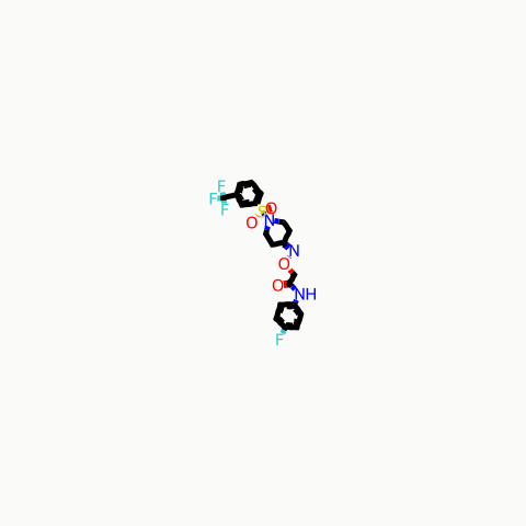 O=C(CON=C1CCN(S(=O)(=O)c2cccc(C(F)(F)F)c2)CC1)Nc1ccc(F)cc1